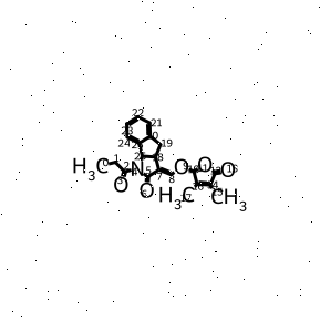 CCC(=O)N1C(=O)/C(=C/OC2OC(=O)C(C)=C2C)C2Cc3ccccc3C21